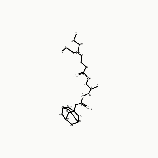 [CH2]C(COC(=O)CCCN(CCC)CCC)COC(=O)CC12CC3CC(CC(C3)C1)C2